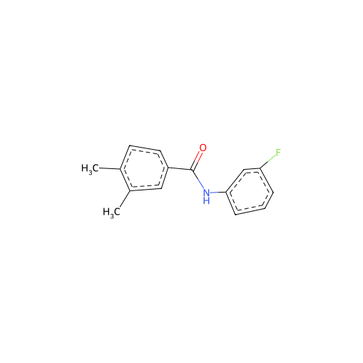 Cc1ccc(C(=O)Nc2cccc(F)c2)cc1C